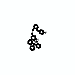 Fc1ccc(Cc2ccccc2COCC2CCc3c(ncn3C(c3ccccc3)(c3ccccc3)c3ccccc3)C2)cc1